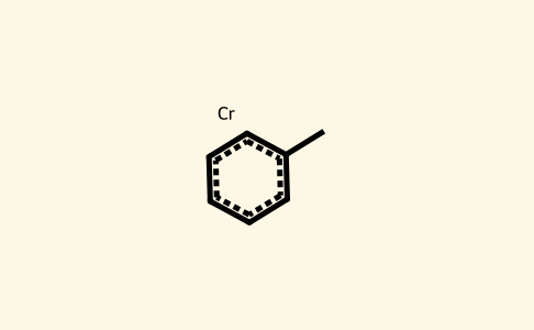 Cc1ccccc1.[Cr]